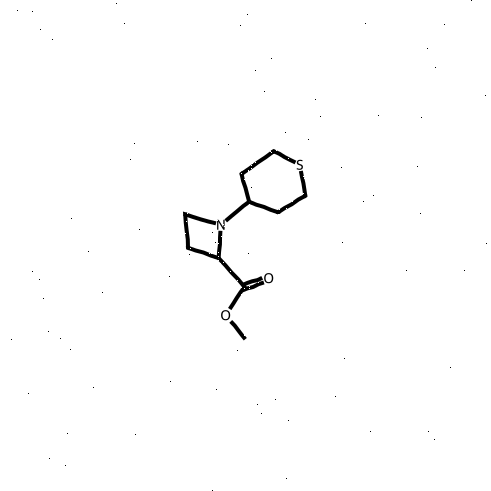 COC(=O)C1CCN1C1CCSCC1